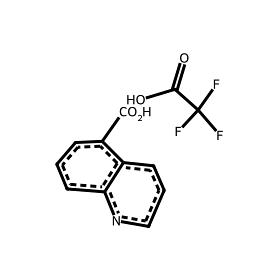 O=C(O)C(F)(F)F.O=C(O)c1cccc2ncccc12